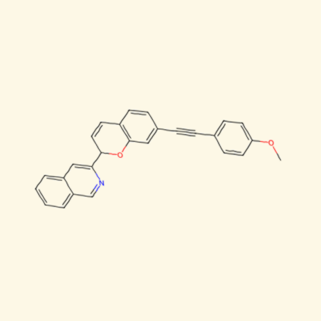 COc1ccc(C#Cc2ccc3c(c2)OC(c2cc4ccccc4cn2)C=C3)cc1